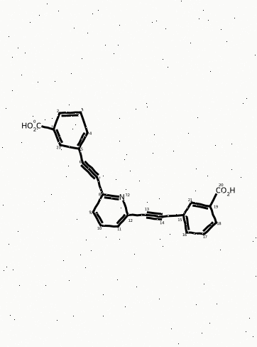 O=C(O)c1cccc(C#Cc2cccc(C#Cc3cccc(C(=O)O)c3)n2)c1